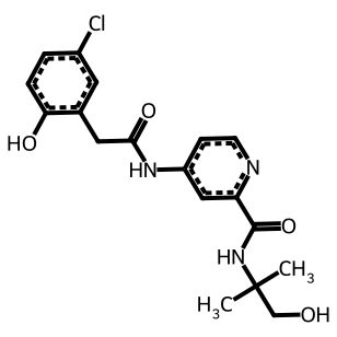 CC(C)(CO)NC(=O)c1cc(NC(=O)Cc2cc(Cl)ccc2O)ccn1